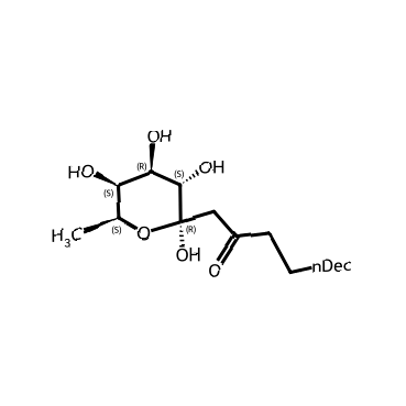 CCCCCCCCCCCCC(=O)C[C@@]1(O)O[C@@H](C)[C@@H](O)[C@@H](O)[C@@H]1O